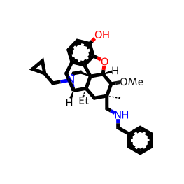 CC[C@@]12C[C@](C)(CNCc3ccccc3)C(OC)[C@H]3Oc4c(O)ccc5c4[C@]31CCN(CC1CC1)[C@H]2C5